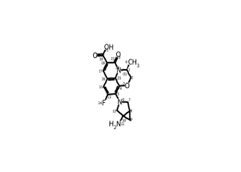 C[C@H]1COc2c(N3CC4CC4(N)C3)c(F)cc3cc(C(=O)O)c(=O)n1c23